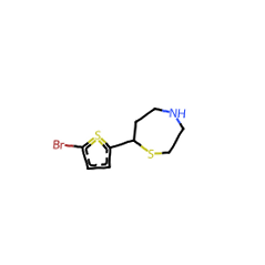 Brc1ccc(C2CCNCCS2)s1